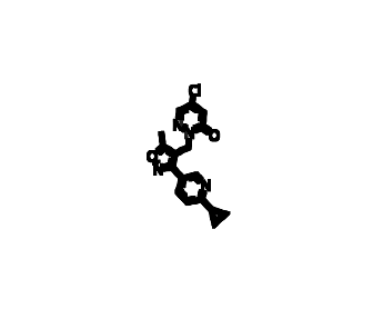 Cc1onc(-c2ccc(C3CC3)nc2)c1Cn1ncc(Cl)cc1=O